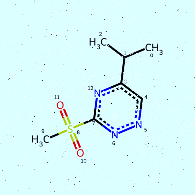 CC(C)c1cnnc(S(C)(=O)=O)n1